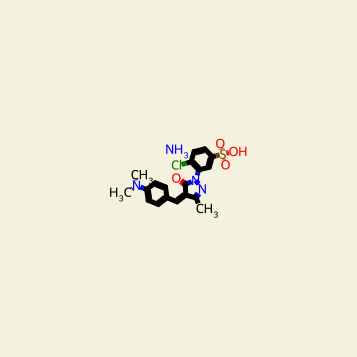 CC1=NN(c2cc(S(=O)(=O)O)ccc2Cl)C(=O)C1=Cc1ccc(N(C)C)cc1.N